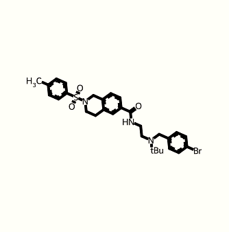 Cc1ccc(S(=O)(=O)N2CCc3cc(C(=O)NCCN(Cc4ccc(Br)cc4)C(C)(C)C)ccc3C2)cc1